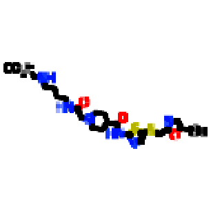 CC(C)(C)c1cnc(CSc2cnc(NC(=O)C3CCN(CC(=O)NCCCCNCC(=O)O)CC3)s2)o1